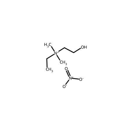 CC[N+](C)(C)CCO.O=[N+]([O-])[O-]